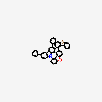 c1ccc(-c2ccc3c(c2)c2cc(-c4ccccc4)ccc2n3-c2cccc3oc4ccc(-c5cccc6sc7ccccc7c56)cc4c23)cc1